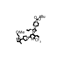 C=CC[C@H]1[C@@H](N2CCN(C(=O)OC(C)(C)C)CC2)CN1c1cc(N2CCC(c3c(C)cnn3CCOC)CC2)nc(C(F)(F)F)c1C=C